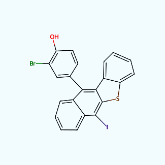 Oc1ccc(-c2c3ccccc3c(I)c3sc4ccccc4c23)cc1Br